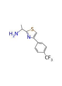 CC(N)c1nc(-c2ccc(C(F)(F)F)cc2)cs1